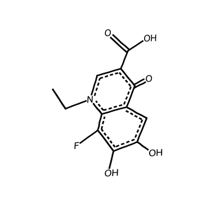 CCn1cc(C(=O)O)c(=O)c2cc(O)c(O)c(F)c21